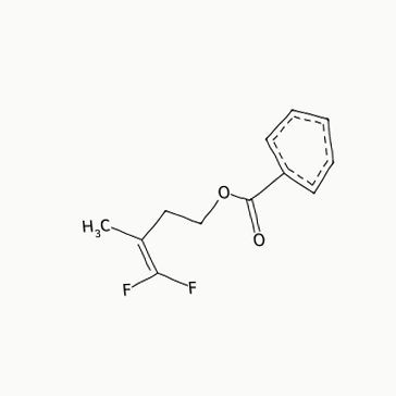 CC(CCOC(=O)c1ccccc1)=C(F)F